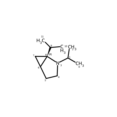 CC(C)N1CCC2C[C@@]21C(C)C